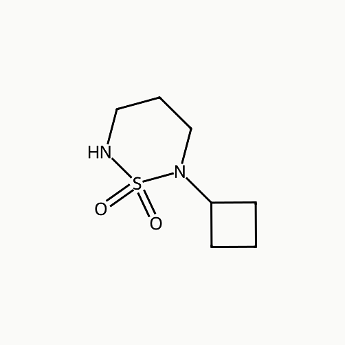 O=S1(=O)NCCCN1C1CCC1